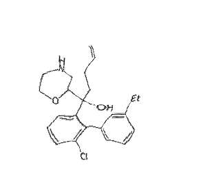 C=CCCC(O)(c1cccc(Cl)c1-c1cccc(CC)c1)C1CNCCO1